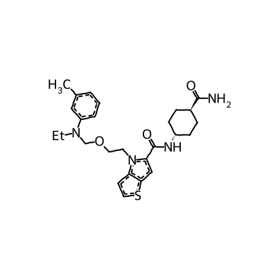 CCN(COCCn1c(C(=O)N[C@H]2CC[C@H](C(N)=O)CC2)cc2sccc21)c1cccc(C)c1